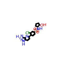 Nc1n[nH]c2ccc(-c3ccc(S(=O)(=O)N[C@H]4CCC[C@@H]4O)cc3Cl)nc12